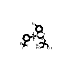 O=S(=O)(c1cccc(C(F)(F)F)c1)N1C[C@H](CC(CO)(CO)CO)Oc2ccc(Br)cc21